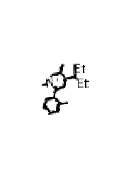 CCC(CC)c1cc(-c2ccccc2C)[n+](C)cc1C